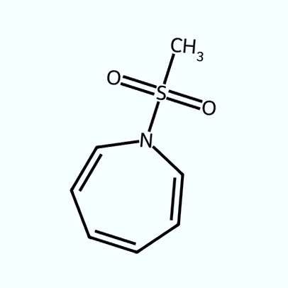 CS(=O)(=O)N1C=CC=CC=C1